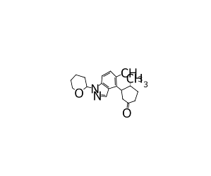 Cc1ccc2c(cnn2C2CCCCO2)c1C1CC(=O)CC[C@H]1C